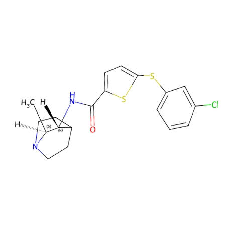 C[C@H]1[C@H](NC(=O)c2ccc(Sc3cccc(Cl)c3)s2)C2CCN1CC2